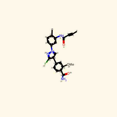 CC#CC(=O)Nc1cc(-n2cc(-c3ccc(C(N)=O)c(OC)c3)c(F)n2)ccc1C